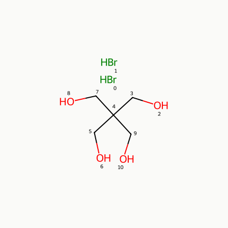 Br.Br.OCC(CO)(CO)CO